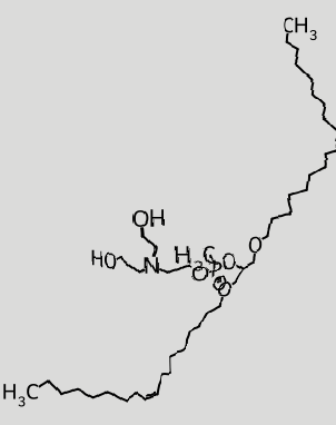 CCCCCCCC/C=C\CCCCCCCCOCC(COCCCCCCCC/C=C\CCCCCCCC)OP(C)(=O)OCCN(CCO)CCO